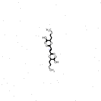 CSCCC(OC(=O)/C=C/C(=O)OC(CCSC)C(=O)O)C(=O)O